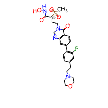 CS(=O)(=O)[C@H](CCn1cnc2cc(-c3ccc(CCN4CCOCC4)cc3F)ccc2c1=O)C(=O)NO